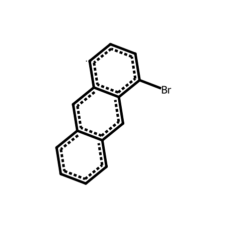 Brc1cc[c]c2cc3ccccc3cc12